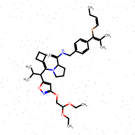 C=C(NCc1ccc(C(S/C=C\CC)=C(C)C)cc1)C1CCCN1C(=C1CCC1)C(c1cc(OCC(OCC)OCC)no1)C(C)C